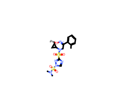 Cc1ccccc1/C(CN(C1CC1)S(=O)(=O)c1ncn(S(=O)(=O)N(C)C)n1)=N/OC(C)C